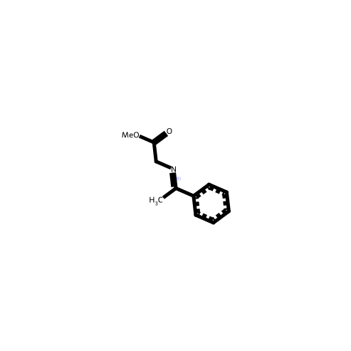 COC(=O)C/N=C(\C)c1ccccc1